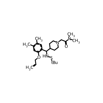 C=CCOc1cc(C)c(C)cc1C(NSC(C)(C)C)C1CCN(CC(=O)N(C)C)CC1